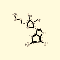 CSOC[C@H]1N[C@@H](c2c[nH]c3c(O)nc(N)nc23)[C@H](O)[C@@H]1O